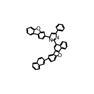 c1ccc(-c2cc(-c3ccc4c(c3)oc3ccccc34)nc(-c3cc4c5cc(-c6ccc7ccccc7c6)ccc5oc4c4ccccc34)n2)cc1